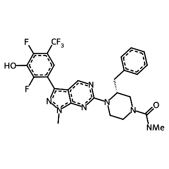 CNC(=O)N1CCN(c2ncc3c(-c4cc(C(F)(F)F)c(F)c(O)c4F)nn(C)c3n2)[C@H](Cc2ccccc2)C1